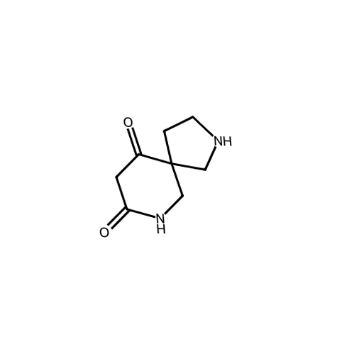 O=C1CC(=O)C2(CCNC2)CN1